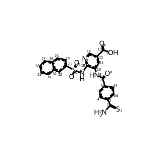 NC(=S)c1ccc(C(=O)Nc2cc(C(=O)O)cnc2NS(=O)(=O)c2ccc3ccccc3c2)cc1